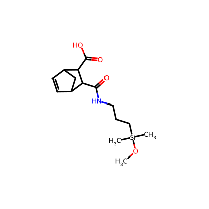 CO[Si](C)(C)CCCNC(=O)C1C2C=CC(C2)C1C(=O)O